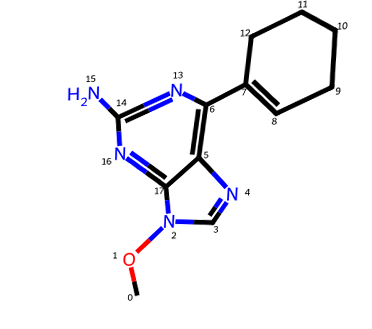 COn1cnc2c(C3=CCCCC3)nc(N)nc21